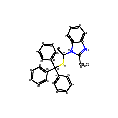 CCOC(=O)c1nc2ccccc2n1C(C)SC(c1ccccc1)(c1ccccc1)c1ccccc1